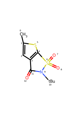 Cc1cc2c(s1)S(=O)(=O)N(C(C)(C)C)C2=O